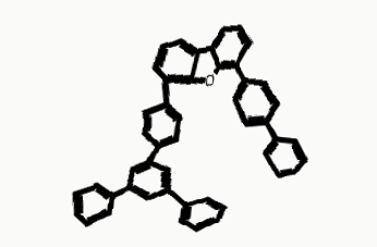 c1ccc(-c2ccc(-c3cccc4c3oc3c(-c5ccc(-c6cc(-c7ccccc7)cc(-c7ccccc7)c6)cc5)cccc34)cc2)cc1